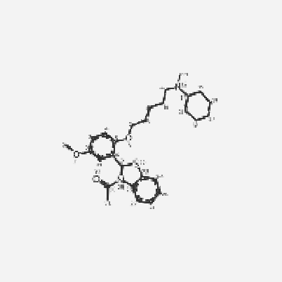 COc1ccc(OCCCCCN(C)C2CCCCC2)c(C2Sc3ccccc3N2C(C)=O)c1